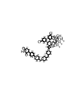 CC(C)[C@@H](CS(=O)(=O)C(C)C)N1C(=O)[C@]2(C=C(N3CCC(CC4CCN(CC5CCN(c6ccc(C7CCC(=O)NC7=O)cn6)CC5)CC4)CC3)C2)C[C@H](c2cccc(Cl)c2)[C@H]1c1ccc(Cl)cc1